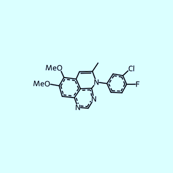 COc1cc2ncnc3c2c(c1OC)C=C(C)N3c1ccc(F)c(Cl)c1